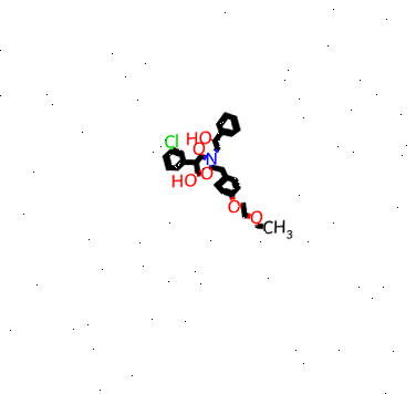 CCOCCOc1ccc(CCN(C[C@H](O)c2ccccc2)C(=O)C(C(=O)O)c2cccc(Cl)c2)cc1